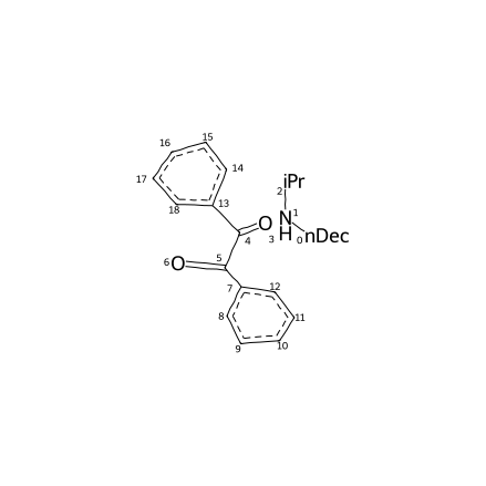 CCCCCCCCCCNC(C)C.O=C(C(=O)c1ccccc1)c1ccccc1